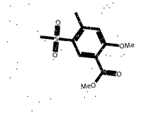 COC(=O)c1cc(S(C)(=O)=O)c(C)cc1OC